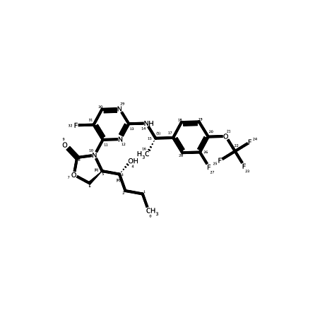 CCC[C@@H](O)[C@H]1COC(=O)N1c1nc(N[C@@H](C)c2ccc(OC(F)(F)F)c(F)c2)ncc1F